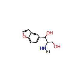 CCNC(CO)C(O)c1ccc2occc2c1